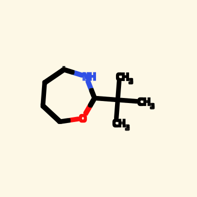 CC(C)(C)C1N[CH]CCCO1